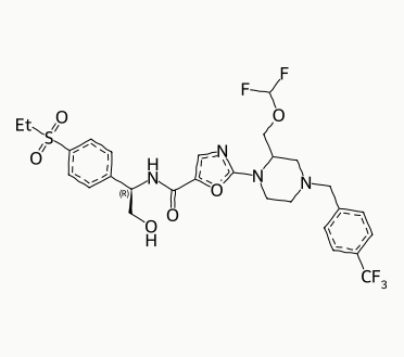 CCS(=O)(=O)c1ccc([C@H](CO)NC(=O)c2cnc(N3CCN(Cc4ccc(C(F)(F)F)cc4)CC3COC(F)F)o2)cc1